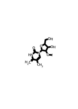 C=C1NC(=O)N(C2OC(CO)C(O)C2OI)C=C1C